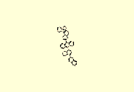 c1ccc2cc(-c3ccc(-c4c5ccccc5c(-c5ccc6c(ccc7oc8ccccc8c76)c5)c5ccccc45)c4ccccc34)ccc2c1